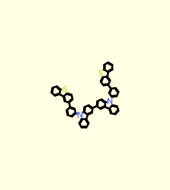 c1cc(-c2ccc3sc4ccccc4c3c2)cc(-n2c3ccccc3c3cc(-c4ccc5c(c4)c4ccccc4n5-c4cccc(-c5ccc6sc7ccccc7c6c5)c4)ccc32)c1